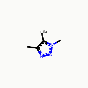 CCCCc1c(C)nnn1C